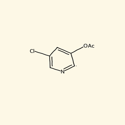 CC(=O)Oc1[c]ncc(Cl)c1